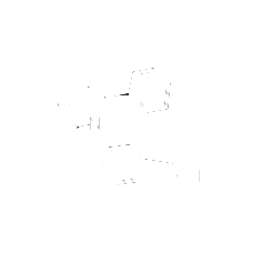 [CH]=Cc1cccc(N2C(=O)OC[C@H]2c2ccccc2)c1